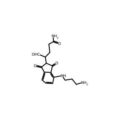 NCCCNc1cccc2c1C(=O)C(C(C=O)CCC(N)=O)C2=O